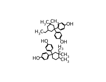 CC1CCC(c2ccc(O)cc2)(c2ccc(O)cc2)CC1(C)C.CCC1CC(C)(C)CC(c2ccc(O)cc2)(c2ccc(O)cc2)C1